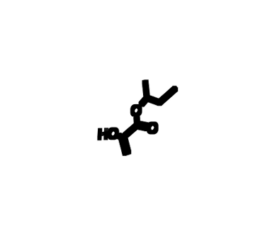 C=C(O)C(=O)OC(C)CC